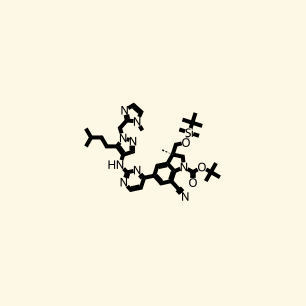 CC(C)CCc1c(Nc2nccc(-c3cc(C#N)c4c(c3)[C@@](C)(CO[Si](C)(C)C(C)(C)C)CN4C(=O)OC(C)(C)C)n2)cnn1Cc1nccn1C